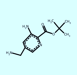 CC(C)(C)OC(=O)c1ncc(CN)cc1N